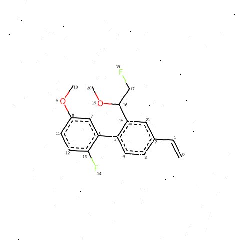 C=Cc1ccc(-c2cc(OC)ccc2F)c(C(CF)OC)c1